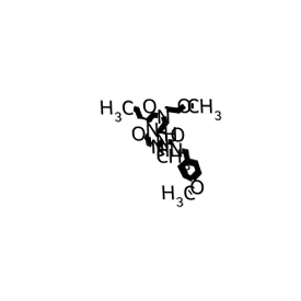 CCC[C@H]1C(=O)N(CCOC)C[C@H]2N1C(=O)CN(C)N2C(=O)NCc1ccc(OC)cc1